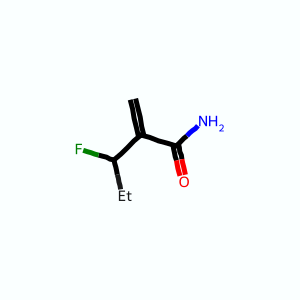 C=C(C(N)=O)C(F)CC